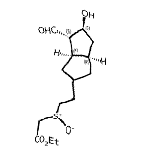 CCOC(=O)C[S+]([O-])CCC1C[C@@H]2C[C@H](O)[C@@H](C=O)[C@@H]2C1